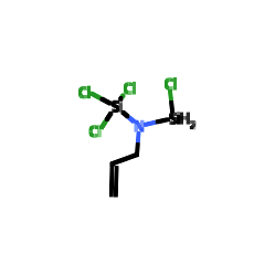 C=CCN([SiH2]Cl)[Si](Cl)(Cl)Cl